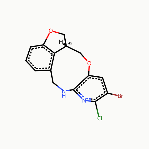 Clc1nc2c(cc1Br)OC[C@H]1COc3cccc(c31)CN2